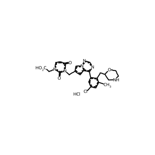 Cc1cc(Cl)cc(-c2ncnn3cc(Cn4c(=O)ccn(CC(=O)O)c4=O)cc23)c1CC1CNCCO1.Cl